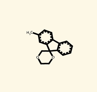 Cc1ccc2c(c1)C1(COCCO1)c1ccccc1-2